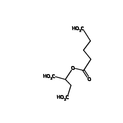 O=C(O)CCCC(=O)OC(CC(=O)O)C(=O)O